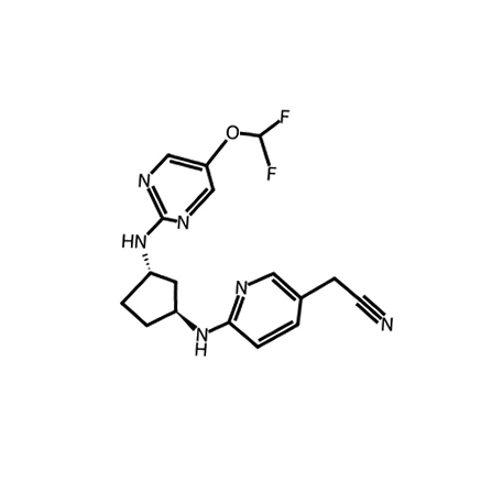 N#CCc1ccc(N[C@H]2CC[C@H](Nc3ncc(OC(F)F)cn3)C2)nc1